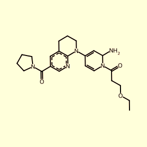 CCOCCC(=O)N1C=CC(N2CCCc3cc(C(=O)N4CCCC4)cnc32)=CC1N